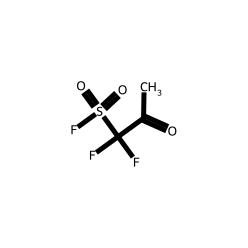 CC(=O)C(F)(F)S(=O)(=O)F